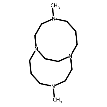 CN1CCCN2CCN(C)CCCN(CC1)CC2